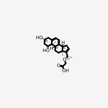 C[C@H](OCC(=O)O)C1=CC[C@H]2C3=CC=C4C[C@@H](O)C[C@H](O)[C@]4(C)[C@H]3CC[C@]12C